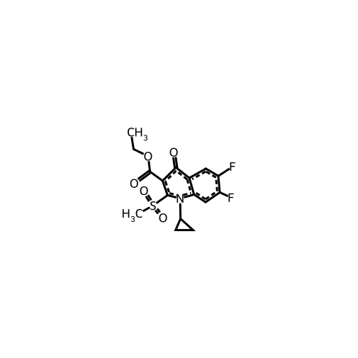 CCOC(=O)c1c(S(C)(=O)=O)n(C2CC2)c2cc(F)c(F)cc2c1=O